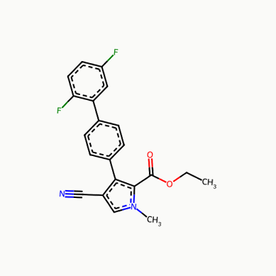 CCOC(=O)c1c(-c2ccc(-c3cc(F)ccc3F)cc2)c(C#N)cn1C